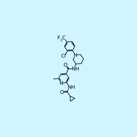 Cc1cc(C(=O)NC2CCCN(c3ccc(C(F)(F)F)cc3Cl)C2)cc(NC(=O)C2CC2)n1